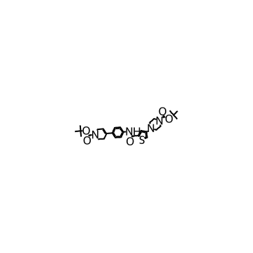 CC(C)(C)OC(=O)N1CC=C(c2ccc(NC(=O)c3cc(N4CCN(C(=O)OC(C)(C)C)CC4)cs3)cc2)CC1